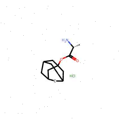 C[C@@H](N)C(=O)OC12CC3CC(CC(C3)C1)C2.Cl